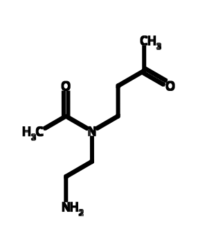 CC(=O)CCN(CCN)C(C)=O